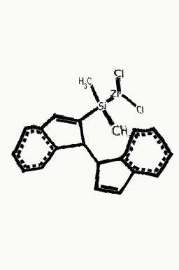 C[Si](C)(C1=Cc2ccccc2C1C1C=Cc2ccccc21)[Zr]([Cl])[Cl]